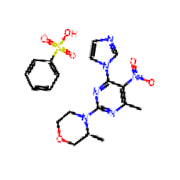 Cc1nc(N2CCOC[C@@H]2C)nc(-n2ccnc2)c1[N+](=O)[O-].O=S(=O)(O)c1ccccc1